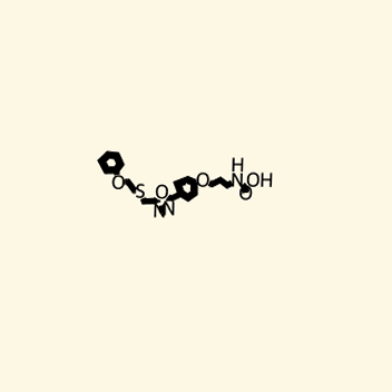 O=C(O)NCCCOc1ccc(-c2nnc(CSCCOc3ccccc3)o2)cc1